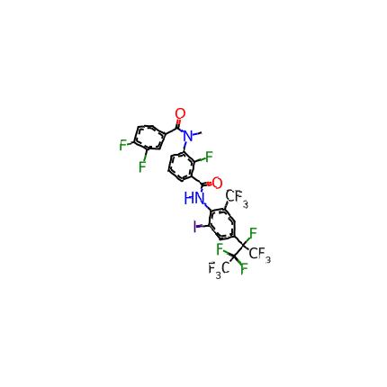 CN(C(=O)c1ccc(F)c(F)c1)c1cccc(C(=O)Nc2c(I)cc(C(F)(C(F)(F)F)C(F)(F)C(F)(F)F)cc2C(F)(F)F)c1F